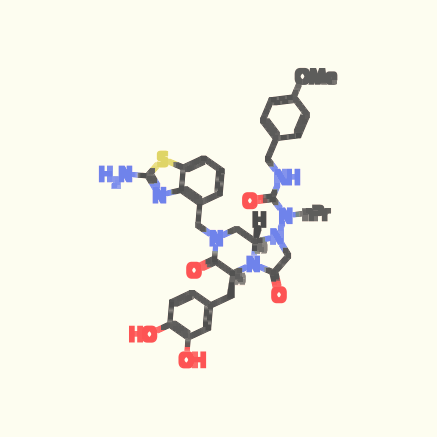 CCCN(C(=O)NCc1ccc(OC)cc1)N1CC(=O)N2[C@@H](Cc3ccc(O)c(O)c3)C(=O)N(Cc3cccc4sc(N)nc34)C[C@@H]21